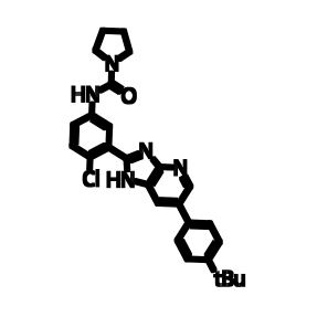 CC(C)(C)c1ccc(-c2cnc3nc(-c4cc(NC(=O)N5CCCC5)ccc4Cl)[nH]c3c2)cc1